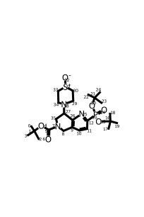 CC(C)(C)OC(=O)N1Cc2ccc(P(=O)(OC(C)(C)C)OC(C)(C)C)nc2C(N2CC[S+]([O-])CC2)C1